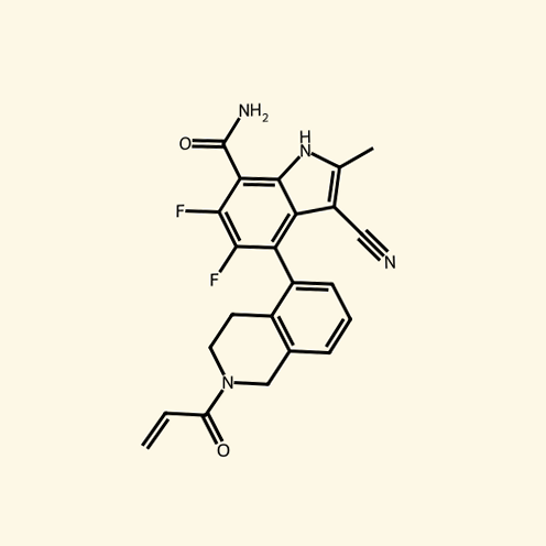 C=CC(=O)N1CCc2c(cccc2-c2c(F)c(F)c(C(N)=O)c3[nH]c(C)c(C#N)c23)C1